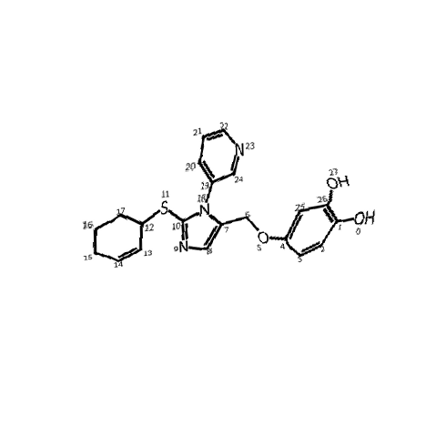 Oc1ccc(OCc2cnc(SC3C=CCCC3)n2-c2cccnc2)cc1O